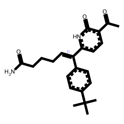 CC(=O)c1ccc(/C(=C/CCCC(N)=O)c2ccc(C(C)(C)C)cc2)[nH]c1=O